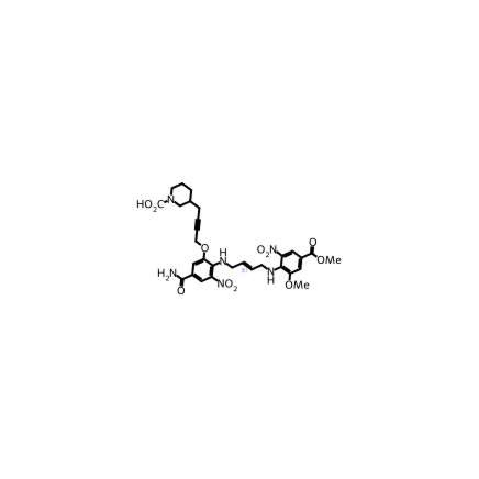 COC(=O)c1cc(OC)c(NC/C=C/CNc2c(OCC#CCC3CCCN(C(=O)O)C3)cc(C(N)=O)cc2[N+](=O)[O-])c([N+](=O)[O-])c1